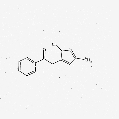 CC1=CC(Cl)C(CC(=O)c2ccccc2)=C1